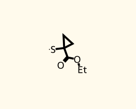 CCOC(=O)C1([S])CC1